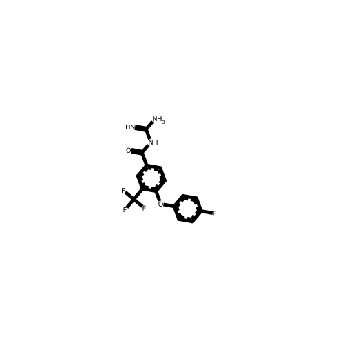 N=C(N)NC(=O)c1ccc(Oc2ccc(F)cc2)c(C(F)(F)F)c1